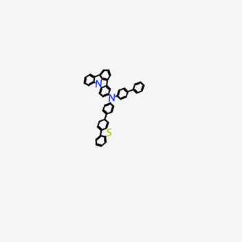 C1=c2sc3ccccc3c2=CCC1c1ccc(N(c2ccc(-c3ccccc3)cc2)c2ccc3c(c2)c2cccc4c5ccccc5n3c42)cc1